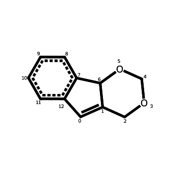 C1=C2COCOC2c2ccccc21